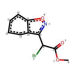 COC(=O)C(Br)c1noc2ccccc12